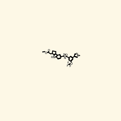 CCOC(=O)CC1CCc2c1[nH]c1ccc(-c3noc(-c4cc(OC(F)(F)F)cc(-c5cnn(C)c5)c4)n3)cc21